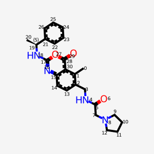 Cc1c(CNC(=O)CN2CCCC2)ccc2nc(N[C@@H](C)c3ccccc3)oc(=O)c12